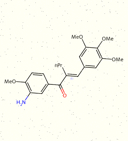 CCC/C(=C\c1cc(OC)c(OC)c(OC)c1)C(=O)c1ccc(OC)c(N)c1